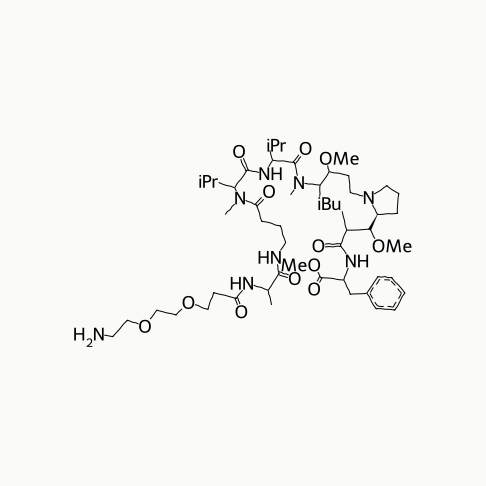 CCC(C)C(C(CCN1CCC[C@H]1C(OC)C(C)C(=O)NC(Cc1ccccc1)C(=O)OC)OC)N(C)C(=O)C(NC(=O)C(C(C)C)N(C)C(=O)CCCNC(=O)C(C)NC(=O)CCOCCOCCN)C(C)C